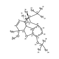 [2H]OC1([2H])C=C[C@@H]2[C@@]34CCN(C([2H])([2H])[2H])[C@]2([2H])Cc2ccc(OC([2H])([2H])[2H])c(c23)OC14